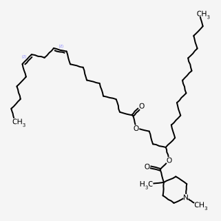 CCCCC/C=C\C/C=C\CCCCCCCC(=O)OCCC(CCCCCCCCCCCC)OC(=O)C1(C)CCN(C)CC1